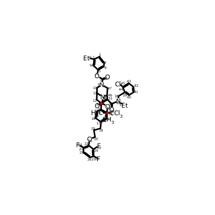 CCc1cccc(OC(=O)N2CC3CC(c4ccc(CCCOc5c(F)ccc(F)c5F)cc4)=C(C(=O)N(CC)Cc4ccccc4Cl)C(C2)N3C(=O)OC(C)(C)C(Cl)(Cl)Cl)c1